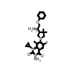 Cc1c(N2CC([C@@H](N)COc3ccccc3)C(C)(C)C2)c(F)cc2c(=O)n(N)c(=O)n(C3CC3)c12